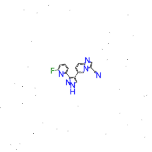 N#Cc1cnc2ccc(-c3c[nH]nc3-c3cccc(F)n3)cn12